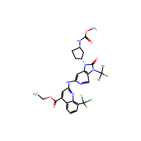 [2H]C([2H])([2H])n1c(=O)n([C@@H]2CC[C@@H](NC(=O)OC)C2)c2cc(Nc3cc(C(=O)OCC)c4cccc(C(F)(F)F)c4n3)ncc21